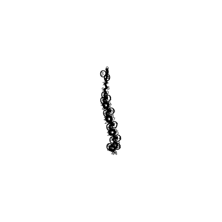 C=CC(=O)OCCCCCCOC(=O)Oc1ccc(C(=O)Oc2ccc(C(=O)Oc3ccc(C(=O)O[C@H]4COC5C4OC[C@@H]5C)cc3)cc2)cc1